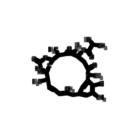 C/C1=C\C=C\C(C)C2(O)CC(OC(=O)N2)C(C)C2OC2(C)C(OC(=O)C(C)S)CC(=O)N(C)c2cc(cc(C)c2Cl)C1